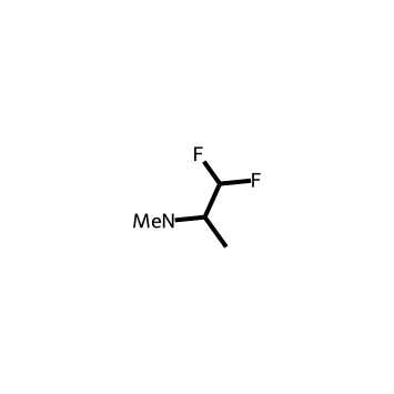 CNC(C)C(F)F